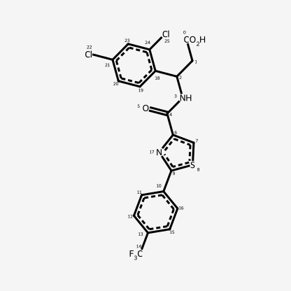 O=C(O)CC(NC(=O)c1csc(-c2ccc(C(F)(F)F)cc2)n1)c1ccc(Cl)cc1Cl